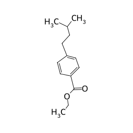 CCOC(=O)c1ccc(CCC(C)C)cc1